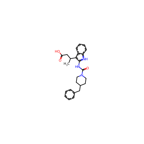 CC(CC(=O)O)c1c(NC(=O)N2CCC(Cc3ccccc3)CC2)[nH]c2ccccc12